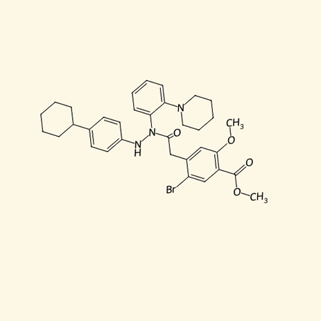 COC(=O)c1cc(Br)c(CC(=O)N(Nc2ccc(C3CCCCC3)cc2)c2ccccc2N2CCCCC2)cc1OC